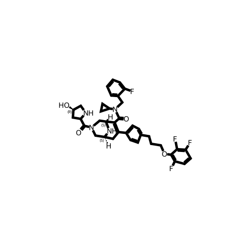 O=C(C1C[C@@H](O)CN1)N1C[C@@H]2CC(c3ccc(CCCOc4c(F)ccc(F)c4F)cc3)=C(C(=O)N(Cc3ccccc3F)C3CC3)[C@@H](C1)N2